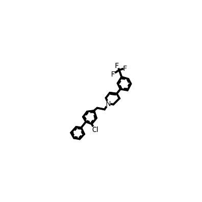 FC(F)(F)c1cccc(C2=CCN(CCc3ccc(-c4ccccc4)c(Cl)c3)CC2)c1